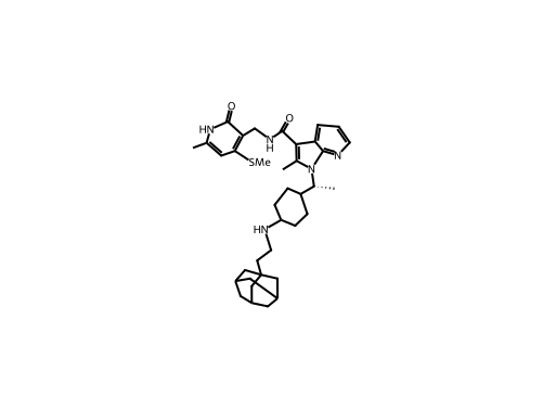 CSc1cc(C)[nH]c(=O)c1CNC(=O)c1c(C)n([C@H](C)C2CCC(NCCC34CC5CC(CC(C5)C3)C4)CC2)c2ncccc12